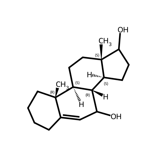 C[C@]12CCCCC1=CC(O)[C@@H]1[C@@H]2CC[C@]2(C)C(O)CC[C@@H]12